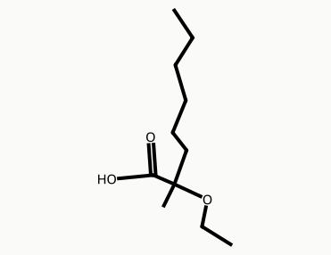 CCCCCCC(C)(OCC)C(=O)O